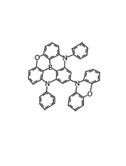 c1ccc(N2c3cccc4c3B3c5c(cccc5N(c5ccccc5)c5cc(N6c7ccccc7Oc7ccccc76)cc2c53)O4)cc1